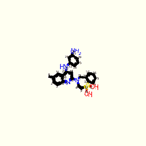 Cc1ccc2nc(N3CCS(O)(O)c4ccccc4C3)cc(Nc3cccc(N)c3)c2c1